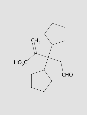 C=C(C(=O)O)C(CC=O)(C1CCCC1)C1CCCC1